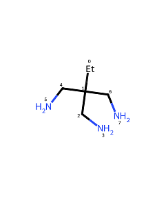 CCC(CN)(CN)CN